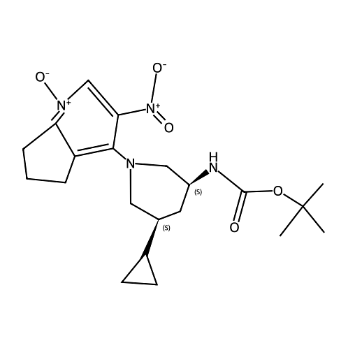 CC(C)(C)OC(=O)N[C@H]1C[C@@H](C2CC2)CN(c2c([N+](=O)[O-])c[n+]([O-])c3c2CCC3)C1